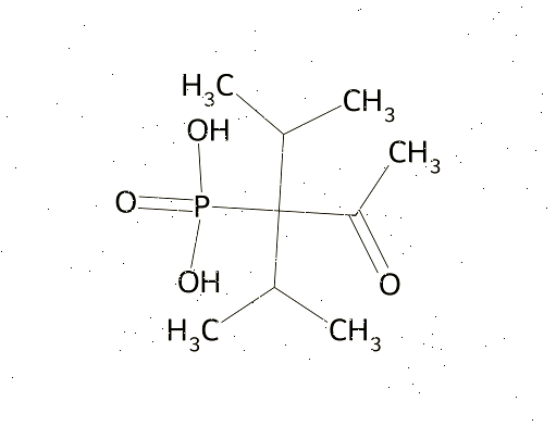 CC(=O)C(C(C)C)(C(C)C)P(=O)(O)O